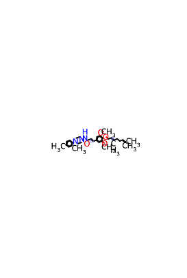 COc1cc(/C=C/C(=O)NN2CCN(c3ccc(C)cc3C)CC2)cc(OC)c1OC/C=C(\C)CCC=C(C)C